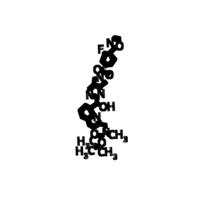 CN(Cc1ccc2cccc(C(O)c3ncc4c(n3)CN(S(=O)(=O)c3ccc(-c5ncco5)c(F)c3)C4)c2n1)C(=O)OC(C)(C)C